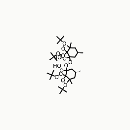 C[C@@H]1CC(C)(C)C(OOC(C)(C)C)(OOC(C)(C)C)C(OO)(OOC2(OO)C[C@H](C)CC(C)(C)C2(OOC(C)(C)C)OOC(C)(C)C)C1